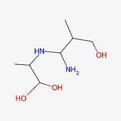 CC(CO)C(N)NC(C)C(O)O